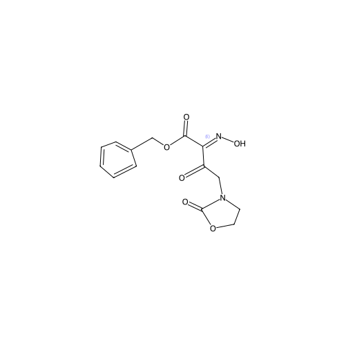 O=C(CN1CCOC1=O)/C(=N\O)C(=O)OCc1ccccc1